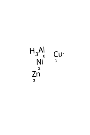 [AlH3].[Cu].[Ni].[Zn]